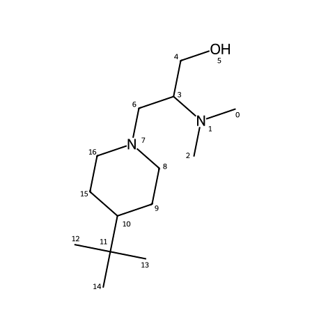 CN(C)C(CO)CN1CCC(C(C)(C)C)CC1